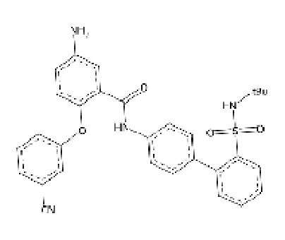 CC(C)(C)NS(=O)(=O)c1ccccc1-c1ccc(NC(=O)c2cc(N)ccc2Oc2cccc(C#N)c2)cc1